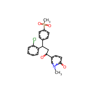 Cn1cc(C(=O)CC(c2ccc(S(C)(=O)=O)cc2)c2ccccc2Cl)ccc1=O